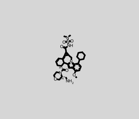 COc1ccc(C2CCCCC2)c2c1cc1n2CC2=C(C(=O)NS(=O)(=O)N(C)C)C2=C2C=CC[C@@H](C(=O)N3CCOC[C@H]3CN)C21